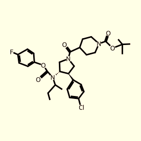 CCC(C)N(C(=O)Oc1ccc(F)cc1)[C@@H]1CN(C(=O)C2CCN(C(=O)OC(C)(C)C)CC2)C[C@H]1c1ccc(Cl)cc1